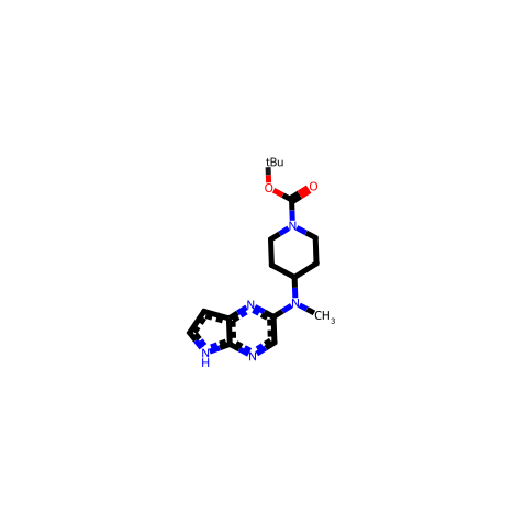 CN(c1cnc2[nH]ccc2n1)C1CCN(C(=O)OC(C)(C)C)CC1